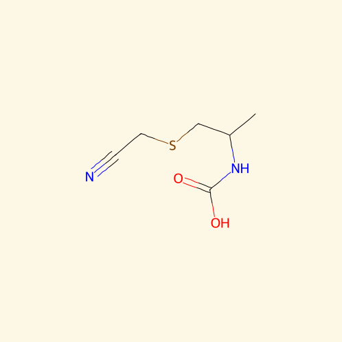 CC(CSCC#N)NC(=O)O